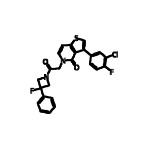 O=C(Cn1ccc2scc(-c3ccc(F)c(Cl)c3)c2c1=O)N1CC(F)(c2ccccc2)C1